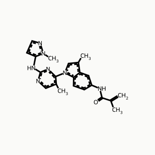 C=C(C)C(=O)Nc1ccc2c(c1)c(C)cn2-c1nc(Nc2ccnn2C)ncc1C